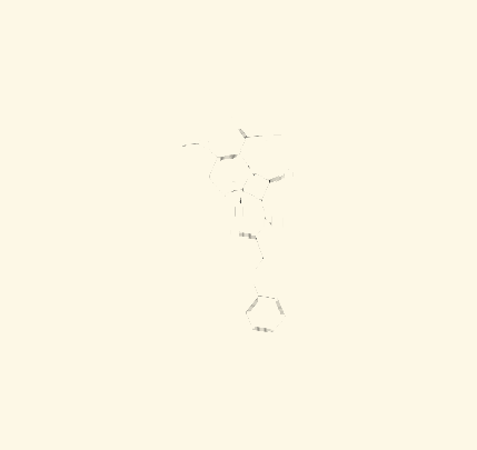 COC1=C(C(=O)O)N2C(=O)C(NC(=O)COc3ccccc3)[C@@H]2SC1